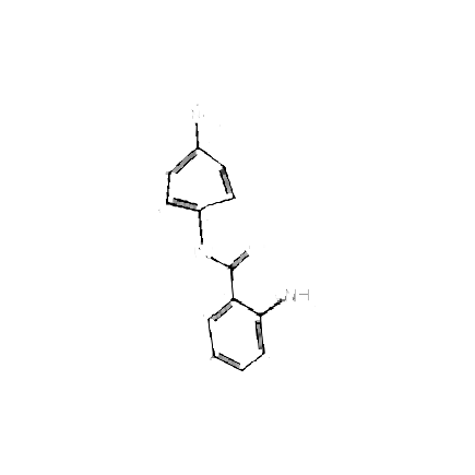 Nc1ccccc1C(=O)Nc1ccc([N+](=O)[O-])cc1